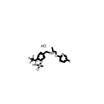 CC(COc1ccc(F)cn1)NCc1ccc([C@H](NS(C)(=O)=O)C(F)(F)F)cc1.Cl